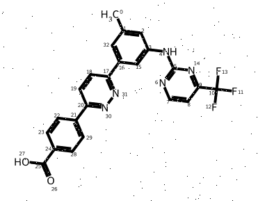 Cc1cc(Nc2nccc(C(F)(F)F)n2)cc(-c2ccc(-c3ccc(C(=O)O)cc3)nn2)c1